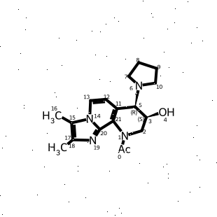 CC(=O)N1C[C@H](O)[C@H](N2CCCC2)c2ccn3c(C)c(C)nc3c21